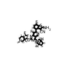 CN1CC[C@H](C(F)F)[C@](C)(COc2nc(N3C[C@H]4CC[C@@H](C3)N4)c3cnc(-c4ccc(F)c5sc(N)c(C#N)c45)c(F)c3n2)C1